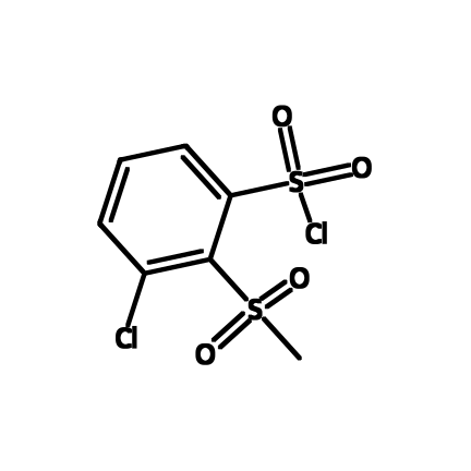 CS(=O)(=O)c1c(Cl)cccc1S(=O)(=O)Cl